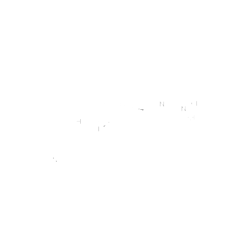 CC12CC=C3C=C4CCC(N5CC[N+](C)(O)CC5)C[C@]45CC[C@]3(O5)[C@@H]1CCC2c1ccc2ccncc2c1